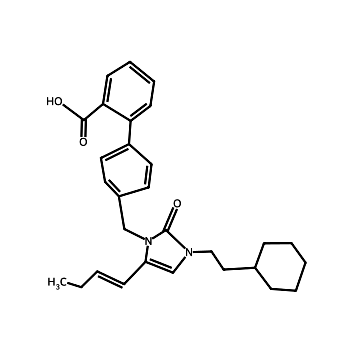 CC/C=C/c1cn(CCC2CCCCC2)c(=O)n1Cc1ccc(-c2ccccc2C(=O)O)cc1